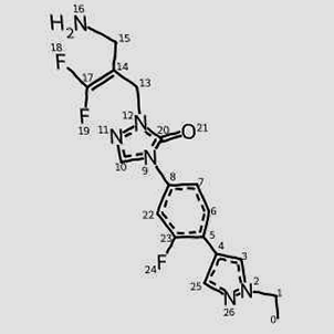 CCn1cc(-c2ccc(-n3cnn(CC(CN)=C(F)F)c3=O)cc2F)cn1